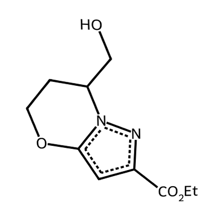 CCOC(=O)c1cc2n(n1)C(CO)CCO2